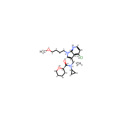 COCCCCn1cc([C@H](C)N(C(=O)[C@H]2CCCCO2)C2CC2)c2c(Cl)ccnc21